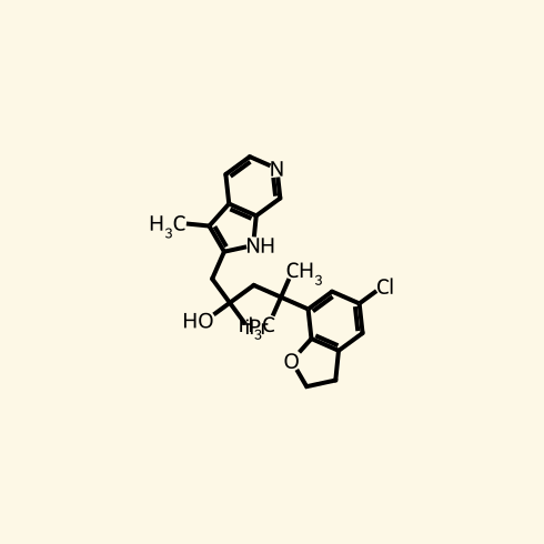 Cc1c(CC(O)(CC(C)(C)c2cc(Cl)cc3c2OCC3)C(C)C)[nH]c2cnccc12